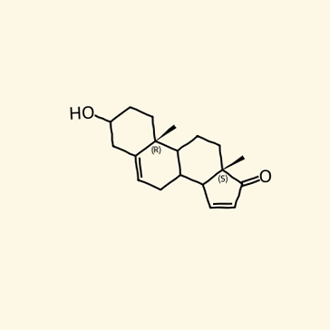 C[C@]12CCC(O)CC1=CCC1C2CC[C@]2(C)C(=O)C=CC12